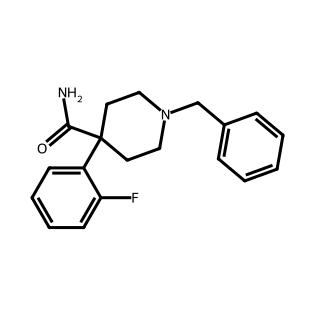 NC(=O)C1(c2ccccc2F)CCN(Cc2ccccc2)CC1